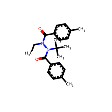 CCN(C(=O)c1ccc(C)cc1)N(C(=O)c1ccc(C)cc1)C(C)(C)C